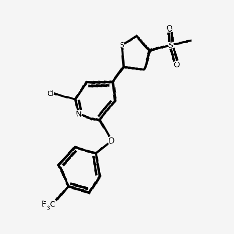 CS(=O)(=O)C1CSC(c2cc(Cl)nc(Oc3ccc(C(F)(F)F)cc3)c2)C1